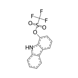 O=S(=O)(Oc1cccc2c1[nH]c1ccccc12)C(F)(F)F